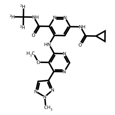 [2H]C([2H])([2H])NC(=O)c1nnc(NC(=O)C2CC2)cc1Nc1ncnc(-c2cnn(C)n2)c1OC